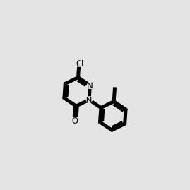 Cc1ccccc1-n1nc(Cl)ccc1=O